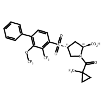 O=C(O)[C@@H]1C[C@@H](S(=O)(=O)c2ccc(-c3ccccc3)c(OC(F)(F)F)c2C(F)(F)F)CN1C(=O)C1(C(F)(F)F)CC1